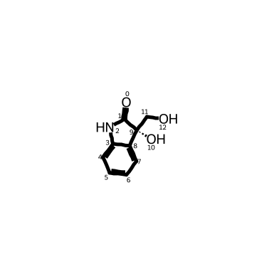 O=C1Nc2ccccc2[C@]1(O)CO